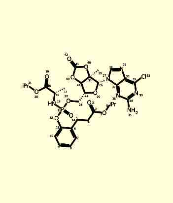 CC(C)OC(=O)CCc1ccccc1OP(=O)(N[C@@H](C)C(=O)OC(C)C)OC[C@H]1O[C@@H](n2cnc3c(Cl)nc(N)nc32)[C@]2(C)OC(=O)OC12